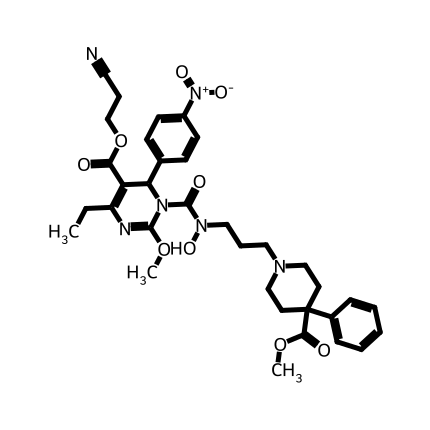 CCC1=C(C(=O)OCCC#N)C(c2ccc([N+](=O)[O-])cc2)N(C(=O)N(O)CCCN2CCC(C(=O)OC)(c3ccccc3)CC2)C(OC)=N1